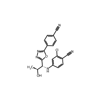 C[C@H](O)[C@@H](Nc1ccc(C#N)c(Cl)c1)c1nnc(-c2ccc(C#N)cc2)o1